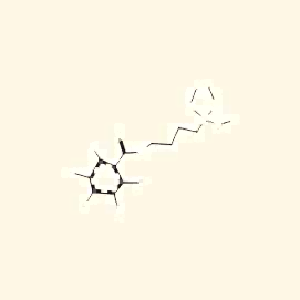 CO[Si](CCCCOC(=O)c1c(F)c(F)c(F)c(F)c1F)(OC)OC